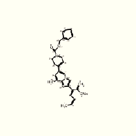 C=C(OC)/C(=C\C=C/C)c1cn2cc(C3=CCN(C(=O)OCc4ccccc4)CC3)cc(C)c2n1